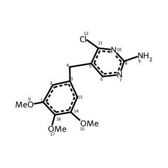 COc1cc(Cc2cnc(N)nc2Cl)cc(OC)c1OC